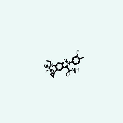 CCN(c1cc2nn(-c3ccc(C)c(F)c3)c(C(=O)NC)c2cc1C1CC1)S(C)(=O)=O